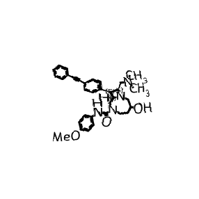 COc1ccc(NC(=O)N2CCC(O)CN3[C@H](CN(C)C)[C@H](c4ccc(C#Cc5ccccc5)cc4)[C@@H]3C2)cc1